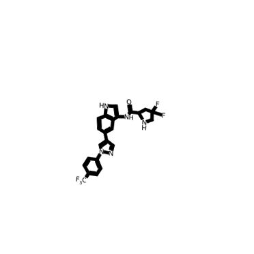 O=C(Nc1c[nH]c2ccc(-c3cnn(-c4ccc(C(F)(F)F)cc4)c3)cc12)C1CC(F)(F)CN1